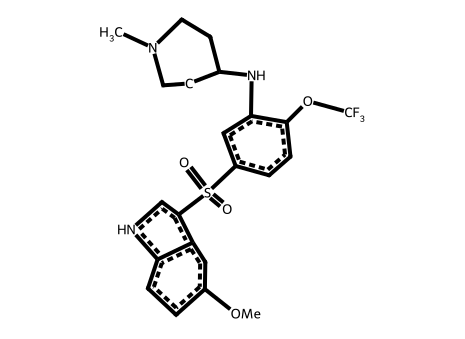 COc1ccc2[nH]cc(S(=O)(=O)c3ccc(OC(F)(F)F)c(NC4CCN(C)CC4)c3)c2c1